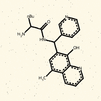 CCCCC(N)C(=O)NC(c1cccnc1)c1cc(C)c2cccnc2c1O